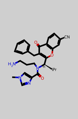 CC(C)[C@H](c1oc2cc(C#N)ccc2c(=O)c1Cc1ccccc1)N(CCCN)C(=O)c1cn(C)cn1